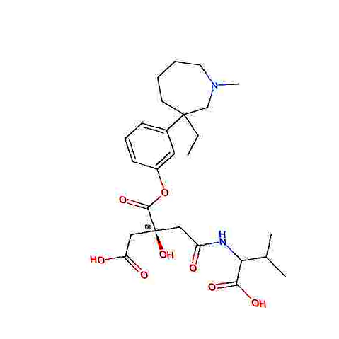 CCC1(c2cccc(OC(=O)[C@@](O)(CC(=O)O)CC(=O)NC(C(=O)O)C(C)C)c2)CCCCN(C)C1